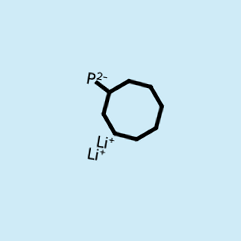 [Li+].[Li+].[P-2]C1CCCCCCC1